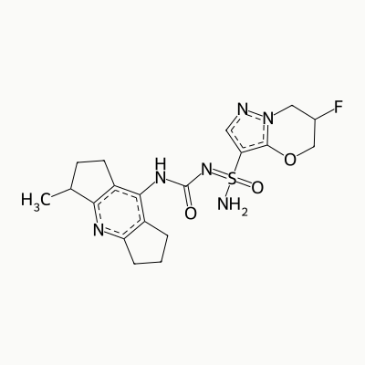 CC1CCc2c1nc1c(c2NC(=O)N=S(N)(=O)c2cnn3c2OCC(F)C3)CCC1